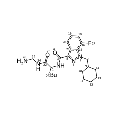 CC(C)(C)C(NC(=O)c1nn(CC2CCCCC2)c2c(F)cccc12)C(=O)NCN